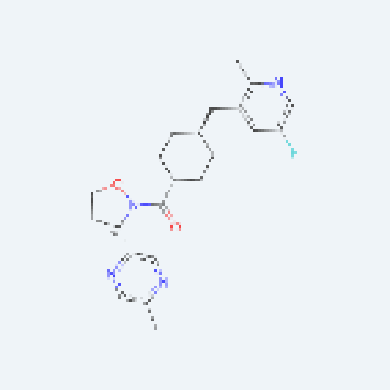 Cc1cnc([C@@H]2CCON2C(=O)[C@H]2CC[C@H](Cc3cc(F)cnc3C)CC2)cn1